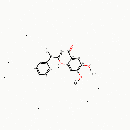 COc1cc2oc(C(C)c3ccccc3)cc(=O)c2cc1OC